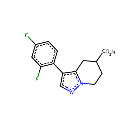 O=C(O)C1CCn2ncc(-c3ccc(F)cc3F)c2C1